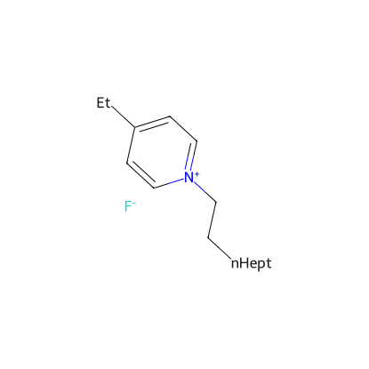 CCCCCCCCC[n+]1ccc(CC)cc1.[F-]